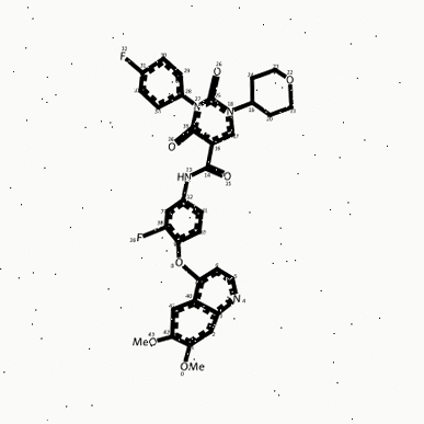 COc1cc2nccc(Oc3ccc(NC(=O)c4cn(C5CCOCC5)c(=O)n(-c5ccc(F)cc5)c4=O)cc3F)c2cc1OC